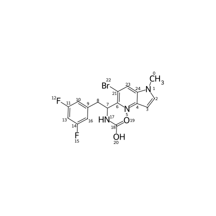 Cn1ccc2nc(C(Cc3cc(F)cc(F)c3)NC(=O)O)c(Br)cc21